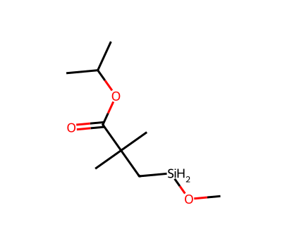 CO[SiH2]CC(C)(C)C(=O)OC(C)C